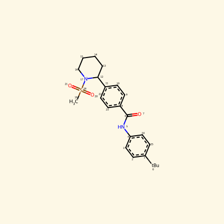 CC(C)(C)c1ccc(NC(=O)c2ccc(C3CCCCN3S(C)(=O)=O)cc2)cc1